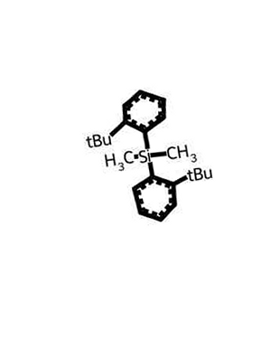 CC(C)(C)c1ccccc1[Si](C)(C)c1ccccc1C(C)(C)C